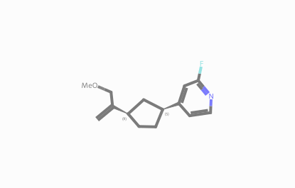 C=C(COC)[C@@H]1CC[C@H](c2ccnc(F)c2)C1